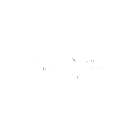 COc1ccc(C(O)(CF)c2ccc3c(cnn3-c3ccc(F)cc3)c2)cn1